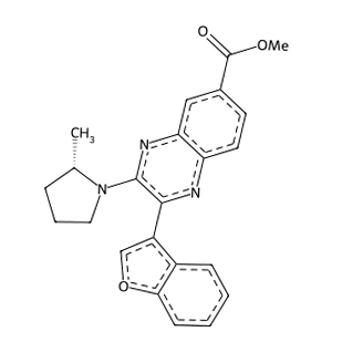 COC(=O)c1ccc2nc(-c3coc4ccccc34)c(N3CCC[C@@H]3C)nc2c1